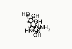 Nc1nc(O)c2[nH]cc([C@@H]3C[C@H](CO)C(O)C3O)c2n1